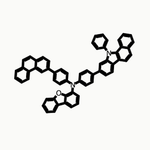 c1ccc(-n2c3cc(-c4ccc(N(c5ccc(-c6ccc7ccc8ccccc8c7c6)cc5)c5cccc6c5oc5ccccc56)cc4)ccc3c3ccc4ccccc4c32)cc1